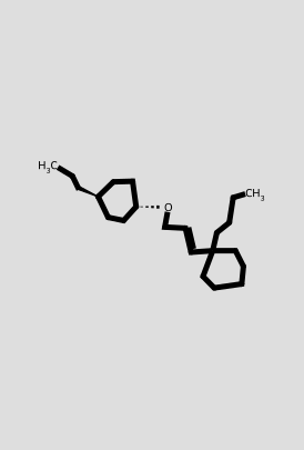 CCCCC1(/C=C/CO[C@H]2CC[C@H](CCC)CC2)CCCCC1